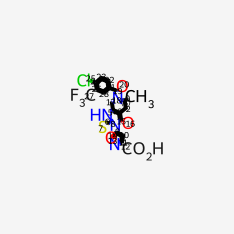 C[C@@H]1Cc2c([nH]c(=S)n(-c3cc(C(=O)O)no3)c2=O)CN1C(=O)c1ccc(Cl)c(C(F)(F)F)c1